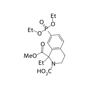 CCOP(=O)(OCC)c1ccc2c(c1)C(CC)(C(=O)OC)N(C(=O)O)CC2